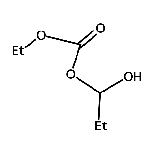 CCOC(=O)OC(O)CC